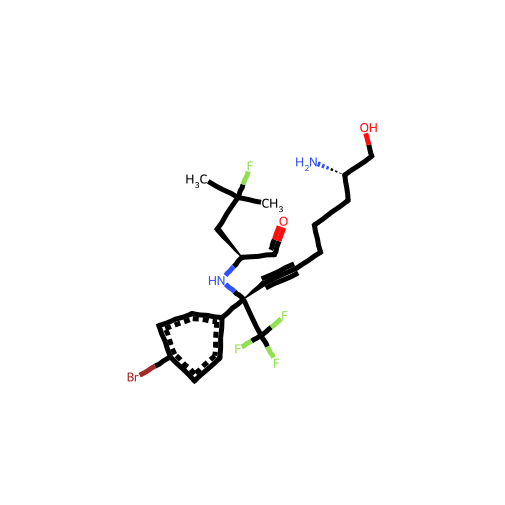 CC(C)(F)C[C@@H](C=O)N[C@@](C#CCCC[C@H](N)CO)(c1ccc(Br)cc1)C(F)(F)F